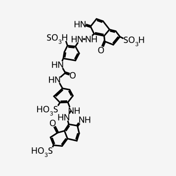 N=C1C=CC2=CC(S(=O)(=O)O)=CC(=O)C2=C1NNc1ccc(NC(=O)Nc2ccc(NNC3=C4C(=O)C=C(S(=O)(=O)O)C=C4C=CC3=N)c(S(=O)(=O)O)c2)cc1S(=O)(=O)O